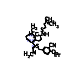 C=N/C=C(SCc1ccc(OC(C)C)c(C#N)c1)/C1=C(\CCC(C)NSCCN(C)C)C/C(C)=C\C/C=C\1